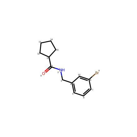 O=C(NCc1cccc(Br)c1)C1CCCC1